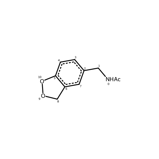 CC(=O)NCc1ccc2c(c1)COO2